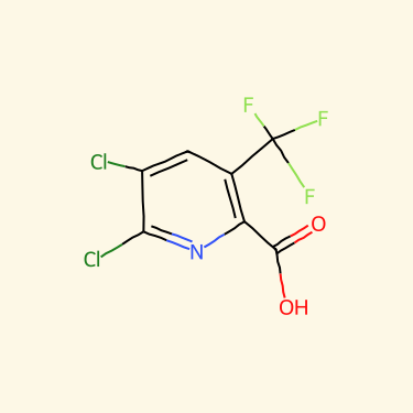 O=C(O)c1nc(Cl)c(Cl)cc1C(F)(F)F